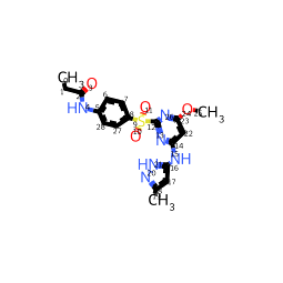 CCC(=O)Nc1ccc(S(=O)(=O)c2nc(Nc3cc(C)n[nH]3)cc(OC)n2)cc1